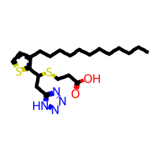 CCCCCCCCCCCCc1ccsc1C(Cc1nnn[nH]1)SCCC(=O)O